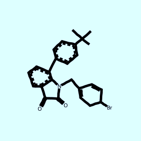 CC(C)(C)c1ccc(-c2cccc3c2N(CC2=CCC(Br)C=C2)C(=O)C3=O)cc1